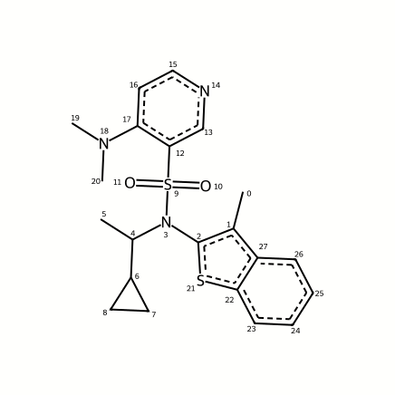 Cc1c(N(C(C)C2CC2)S(=O)(=O)c2cnccc2N(C)C)sc2ccccc12